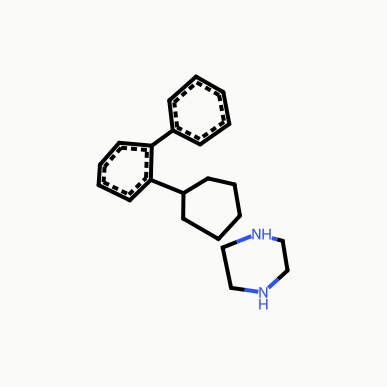 C1CNCCN1.c1ccc(-c2ccccc2C2CCCCC2)cc1